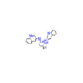 CCC1=CCC(=Nc2cnc3ccccc3c2)NC1=Nc1cnc2ccccc2c1